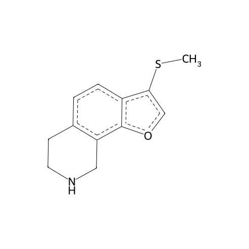 CSc1coc2c3c(ccc12)CCNC3